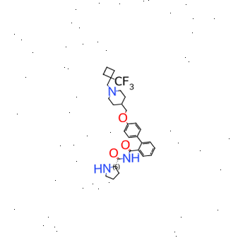 O=C(NC(=O)[C@@H]1CCCN1)c1ccccc1-c1ccc(OCC2CCN(CC3(C(F)(F)F)CCC3)CC2)cc1